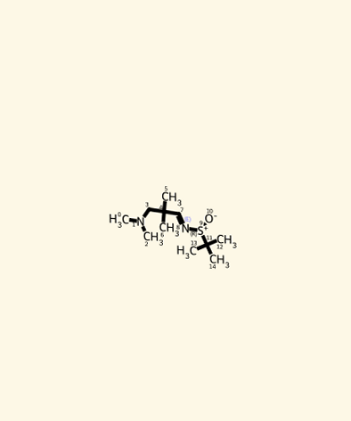 CN(C)CC(C)(C)/C=N/[S@@+]([O-])C(C)(C)C